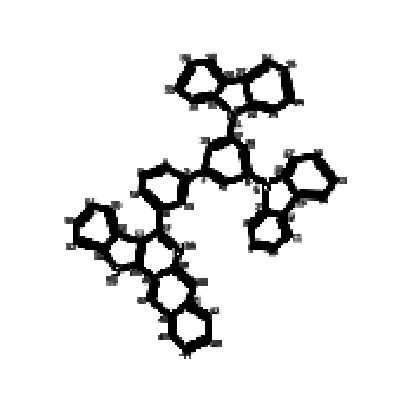 c1cc(-c2cc(-n3c4ccccc4c4ccccc43)cc(-n3c4ccccc4c4ccccc43)c2)cc(-c2nc3cc4ccccc4cc3c3sc4ccccc4c23)c1